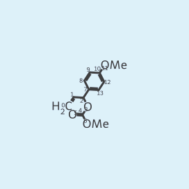 C=CC(OC(=O)OC)c1ccc(OC)cc1